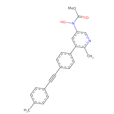 COC(=O)N(O)c1cnc(C)c(-c2ccc(C#Cc3ccc(C)cc3)cc2)c1